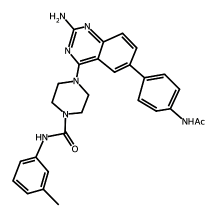 CC(=O)Nc1ccc(-c2ccc3nc(N)nc(N4CCN(C(=O)Nc5cccc(C)c5)CC4)c3c2)cc1